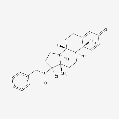 C[C@]12C=CC(=O)C=C1CC[C@@H]1[C@@H]2CC[C@@]2(C)[C@H]1CC[C@]2(Cl)[S@+]([O-])Cc1ccccc1